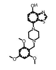 COc1cc(OC)c(CN2CCN(c3ccc(O)c4ncsc34)CC2)c(OC)c1